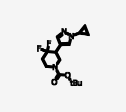 CC(C)(C)OC(=O)N1CCC(F)(F)C(c2cnn(C3CC3)c2)C1